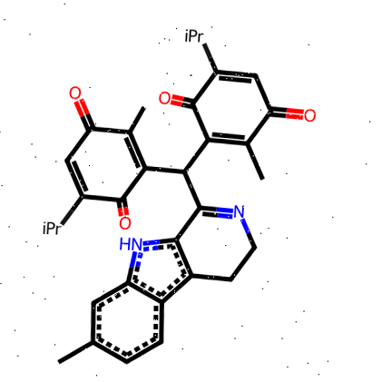 CC1=C(C(C2=NCCc3c2[nH]c2cc(C)ccc32)C2=C(C)C(=O)C=C(C(C)C)C2=O)C(=O)C(C(C)C)=CC1=O